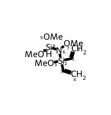 C=C[Si](C=C)(OC)N(OC)[SiH](OC)OC